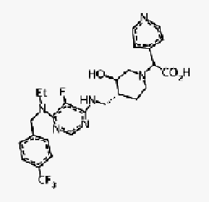 CCN(Cc1ccc(C(F)(F)F)cc1)c1ncnc(NC[C@H]2CCN(C(C(=O)O)c3ccncc3)C[C@@H]2O)c1F